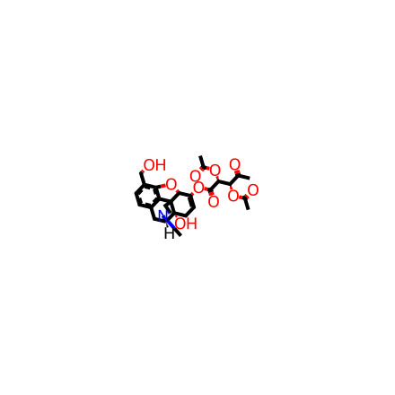 CC(=O)O[C@H](C(C)=O)[C@H](OC(C)=O)C(=O)OC1=CC[C@@]2(O)[C@H]3Cc4ccc(CO)c5c4C2(CCN3C)C1O5